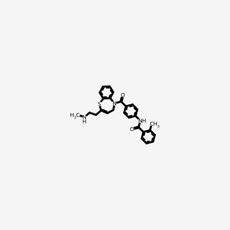 CNCCC1=CCN(C(=O)c2ccc(NC(=O)c3ccccc3C)cc2)c2ccccc2S1